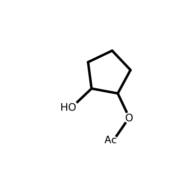 CC(=O)OC1CCCC1O